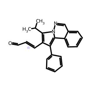 CC(C)c1c(/C=C/C=O)c(-c2ccccc2)c2c3ccccc3cnn12